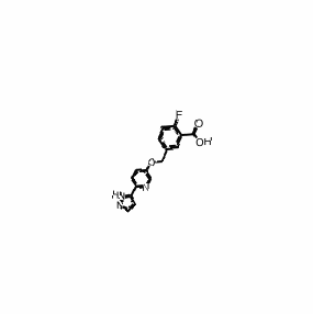 O=C(O)c1cc(COc2ccc(-c3ccn[nH]3)nc2)ccc1F